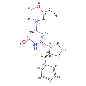 CCC1CN(c2cc(=O)[nH]c(N3CCC[C@H]3Cc3ccccc3)n2)CCO1